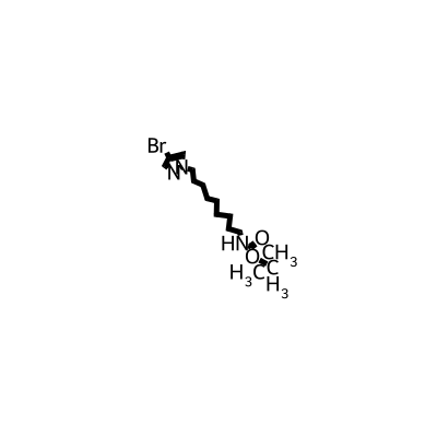 CC(C)(C)OC(=O)NCCCCCCCCCn1cc(Br)cn1